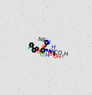 N#Cc1cncc(COc2cc(O[C@H]3CCc4c(-c5ccccc5F)cccc43)c(Cl)cc2CNCC(=O)N[C@@H](CO)C(=O)O)c1